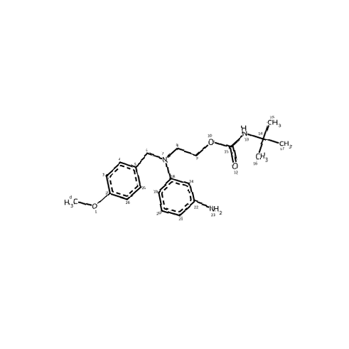 COc1ccc(CN(CCOC(=O)NC(C)(C)C)c2cccc(N)c2)cc1